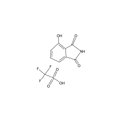 O=C1NC(=O)c2c(O)cccc21.O=S(=O)(O)C(F)(F)F